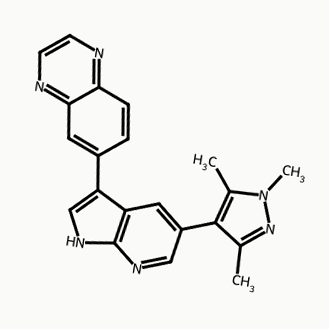 Cc1nn(C)c(C)c1-c1cnc2[nH]cc(-c3ccc4nccnc4c3)c2c1